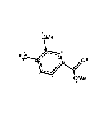 COC(=O)c1ccc(C(F)(F)F)c(OC)c1